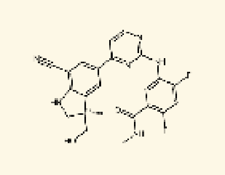 CNC(=O)c1cc(Nc2nccc(-c3cc(C#N)c4c(c3)[C@@](C)(CO)CN4)n2)c(F)cc1F